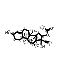 C#CC1(O)C(OC(C)=O)C[C@H]2[C@@H]3CCC4=CC(O)CC[C@]4(C)[C@@H]3CC[C@@]21C